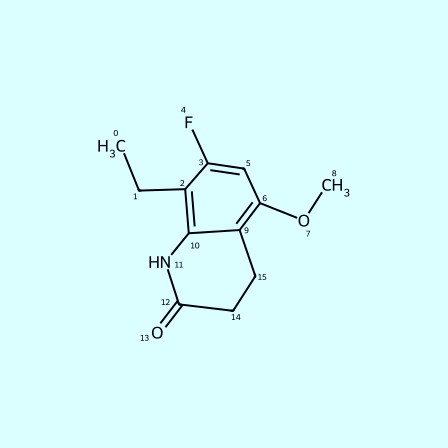 CCc1c(F)cc(OC)c2c1NC(=O)CC2